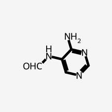 Nc1ncncc1NC=O